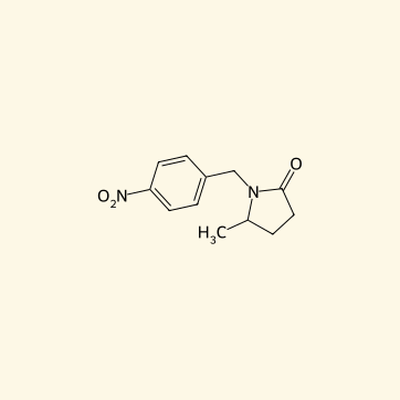 CC1CCC(=O)N1Cc1ccc([N+](=O)[O-])cc1